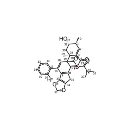 C[C@H]1C=C2C(=O)C=C3C4=C(C(c5ccccc5F)=C[C@]3(C(=O)SC(=O)N(C)C)[C@@]2(C)C[C@@H]1O)C1=C(C4)OCO1